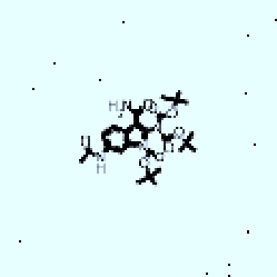 CC(=O)Nc1ccc2c(C(N)=O)c(N(C(=O)OC(C)(C)C)C(=O)OC(C)(C)C)n(C(=O)OC(C)(C)C)c2c1